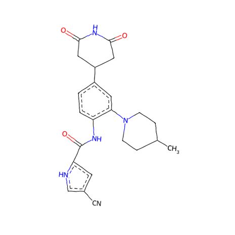 CC1CCN(c2cc(C3CC(=O)NC(=O)C3)ccc2NC(=O)c2cc(C#N)c[nH]2)CC1